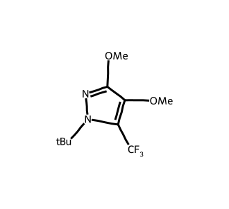 COc1nn(C(C)(C)C)c(C(F)(F)F)c1OC